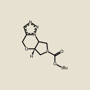 CC(C)(C)OC(=O)N1CC2[C@H](C1)OCc1cnnn12